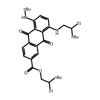 CCCCNc1ccc(NCC(CC)CCCC)c2c1C(=O)c1ccc(C(=O)OCC(CC)CCCC)cc1C2=O